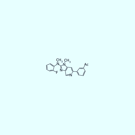 CC(=O)c1cccc(-c2cc3c(cn2)nc(N(C)c2ccccc2F)n3C)c1